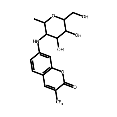 CC1OC(CO)C(O)C(O)C1Nc1ccc2cc(C(F)(F)F)c(=O)oc2c1